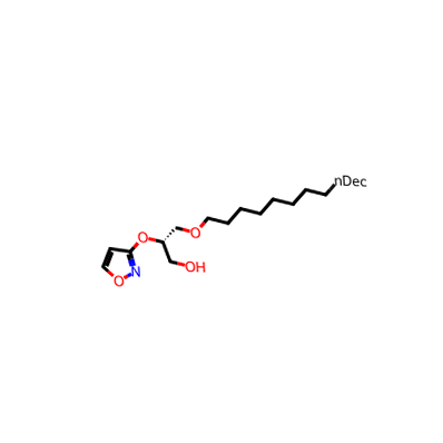 CCCCCCCCCCCCCCCCCCOC[C@H](CO)Oc1ccon1